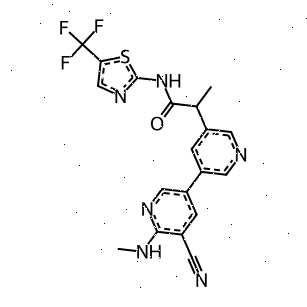 CNc1ncc(-c2cncc(C(C)C(=O)Nc3ncc(C(F)(F)F)s3)c2)cc1C#N